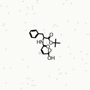 CC(C)(C)OC(=O)C(Cc1ccccc1)NC(=O)/C=C\C(=O)O